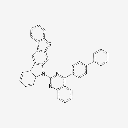 C1=CC2c3cc4c(cc3N(c3nc(-c5ccc(-c6ccccc6)cc5)c5ccccc5n3)C2C=C1)sc1ccccc14